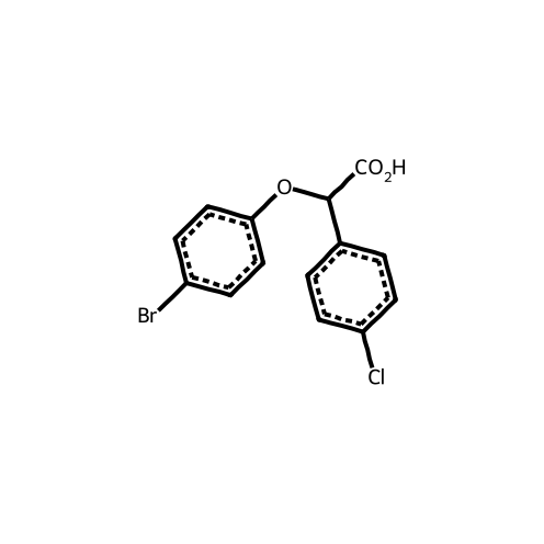 O=C(O)C(Oc1ccc(Br)cc1)c1ccc(Cl)cc1